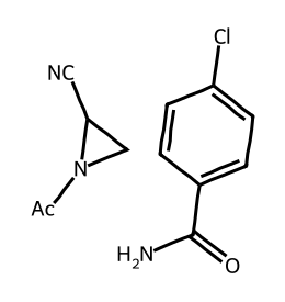 CC(=O)N1CC1C#N.NC(=O)c1ccc(Cl)cc1